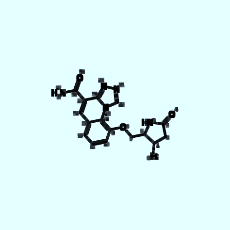 CCC1CC(=O)NC1COc1cccc2cc(C(N)=O)c3nncn3c12